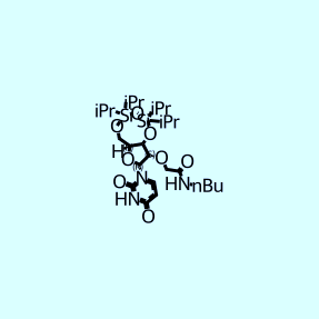 CCCCNC(=O)CO[C@H]1C2O[Si](C(C)C)(C(C)C)O[Si](C(C)C)(C(C)C)OC[C@H]2O[C@H]1n1ccc(=O)[nH]c1=O